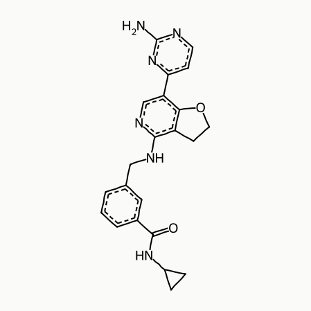 Nc1nccc(-c2cnc(NCc3cccc(C(=O)NC4CC4)c3)c3c2OCC3)n1